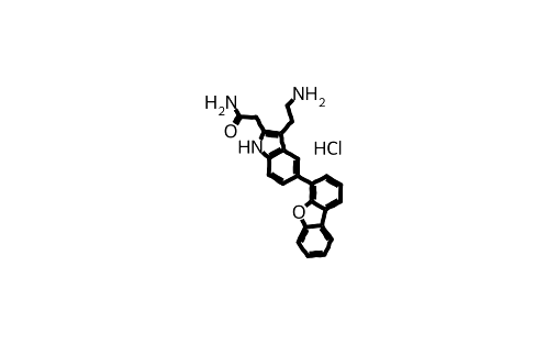 Cl.NCCc1c(CC(N)=O)[nH]c2ccc(-c3cccc4c3oc3ccccc34)cc12